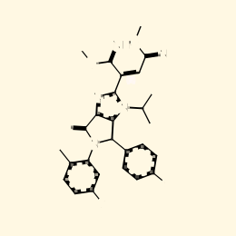 COC(=N)/C=C(\C(=N)OC)c1nc2c(n1C(C)C)C(c1ccc(Cl)cc1)N(c1cc(Cl)ccc1C)C2=O